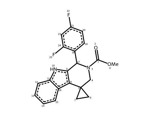 COC(=O)N1CC2(CC2)c2c([nH]c3ccccc23)C1c1ccc(F)cc1F